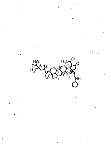 CC(C)C1=C2[C@H]3CCC4[C@@]5(C)CC[C@H](OC(=O)CC(C)(C)C(=O)O)C(C)(C)C5CC[C@@]4(C)[C@]3(C)CC[C@@]2(CCNC2CCCC2)CC1=O